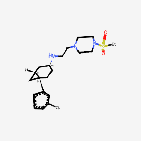 CCS(=O)(=O)N1CCN(CCN[C@@H]2CC[C@]3(c4cccc(C#N)c4)C[C@@H]3C2)CC1